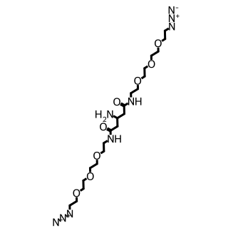 [N-]=[N+]=NCCOCCOCCOCCNC(=O)CC(N)CC(=O)NCCOCCOCCOCCN=[N+]=[N-]